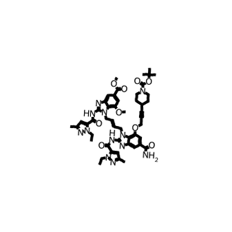 CCn1nc(C)cc1C(=O)Nc1nc2cc(C(=O)OC)cc(OC)c2n1C/C=C/Cn1c(NC(=O)c2cc(C)nn2CC)nc2cc(C(N)=O)cc(OCC#CC3CCN(C(=O)OC(C)(C)C)CC3)c21